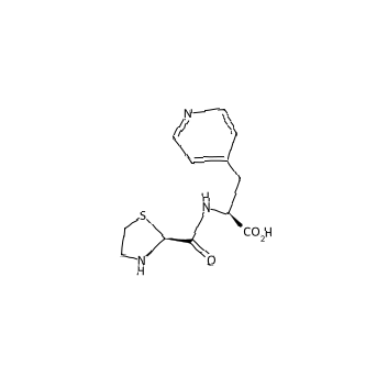 O=C(O)[C@H](Cc1ccncc1)NC(=O)[C@H]1NCCS1